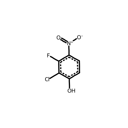 O=[N+]([O-])c1ccc(O)c(Cl)c1F